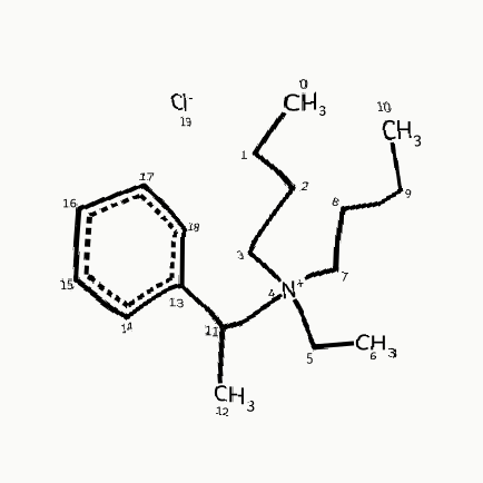 CCCC[N+](CC)(CCCC)C(C)c1ccccc1.[Cl-]